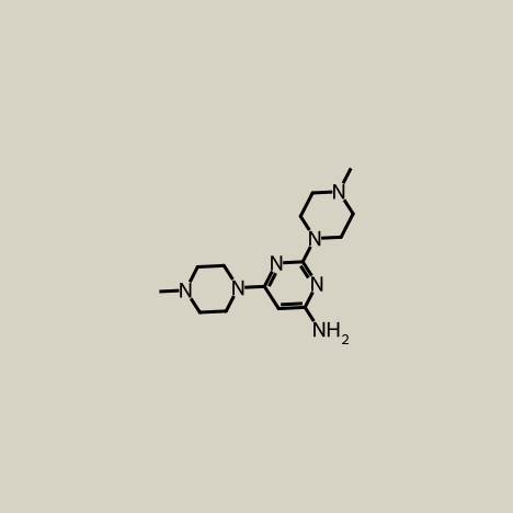 CN1CCN(c2cc(N)nc(N3CCN(C)CC3)n2)CC1